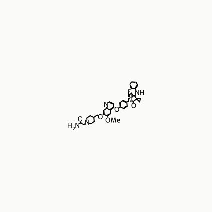 COc1cc2c(Oc3ccc(NC(=O)C4(C(=O)Nc5ccccc5F)CC4)cc3)ccnc2cc1OCC1CCN(CC(N)=O)CC1